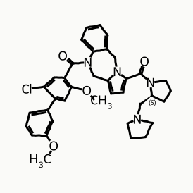 COc1cccc(-c2cc(OC)c(C(=O)N3Cc4ccc(C(=O)N5CCC[C@H]5CN5CCCC5)n4Cc4ccccc43)cc2Cl)c1